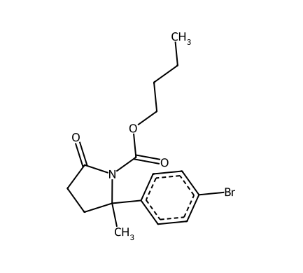 CCCCOC(=O)N1C(=O)CCC1(C)c1ccc(Br)cc1